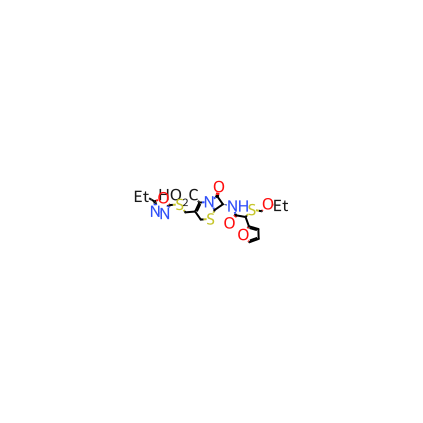 CCOCSC(C(=O)N[C@H]1C(=O)N2C(C(=O)O)=C(CSc3nnc(CC)o3)CSC12)c1ccco1